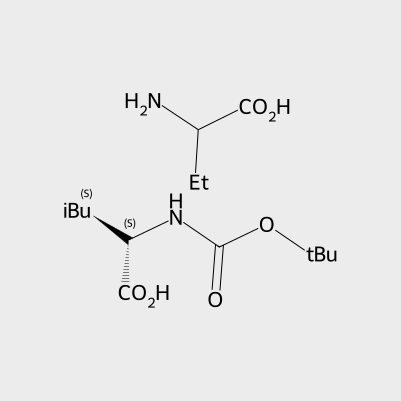 CCC(N)C(=O)O.CC[C@H](C)[C@H](NC(=O)OC(C)(C)C)C(=O)O